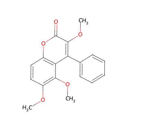 COc1ccc2oc(=O)c(OC)c(-c3ccccc3)c2c1OC